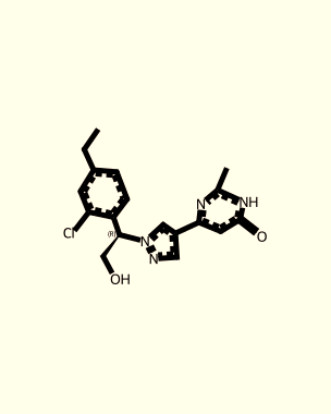 CCc1ccc([C@H](CO)n2cc(-c3cc(=O)[nH]c(C)n3)cn2)c(Cl)c1